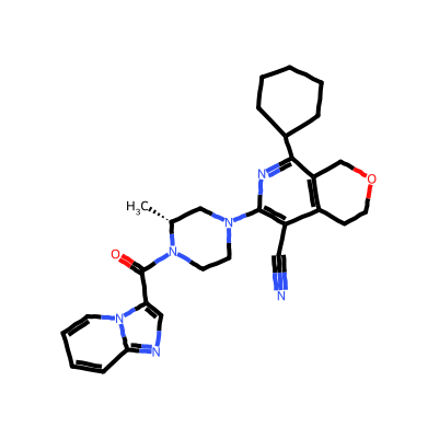 C[C@@H]1CN(c2nc(C3CCCCC3)c3c(c2C#N)CCOC3)CCN1C(=O)c1cnc2ccccn12